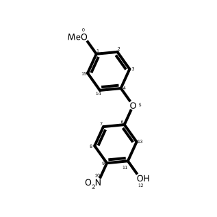 COc1ccc(Oc2ccc([N+](=O)[O-])c(O)c2)cc1